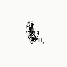 C[C@H](Cc1ccccc1)NC(=O)[C@@H]1C[C@@H](O)CN1C(=O)C1CCCN1C(=O)CNC(=O)[C@@H](N)Cc1c(F)c(F)c(F)c(F)c1F